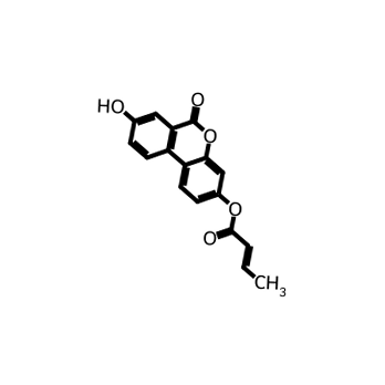 C/C=C/C(=O)Oc1ccc2c(c1)oc(=O)c1cc(O)ccc12